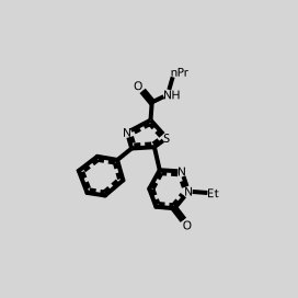 CCCNC(=O)c1nc(-c2ccccc2)c(-c2ccc(=O)n(CC)n2)s1